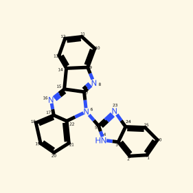 c1ccc2[nH]c(-n3c4nc5ccccc5c-4nc4ccccc43)nc2c1